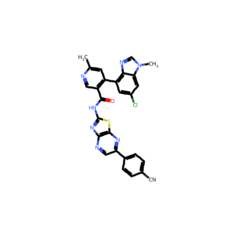 Cc1cc(-c2cc(Cl)cc3c2ncn3C)c(C(=O)Nc2nc3ncc(-c4ccc(C#N)cc4)nc3s2)cn1